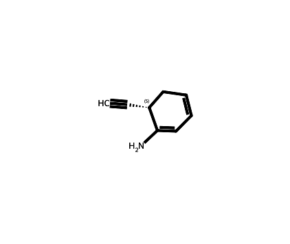 C#C[C@@H]1CC=CC=C1N